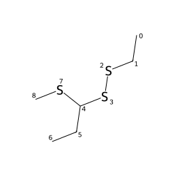 CCSSC(CC)SC